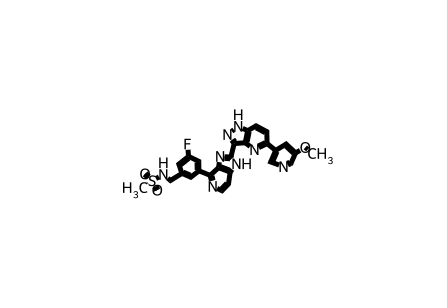 COc1cncc(-c2ccc3[nH]nc(-c4nc5c(-c6cc(F)cc(CNS(C)(=O)=O)c6)nccc5[nH]4)c3n2)c1